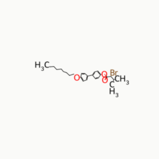 CCCCCCCCCOc1ccc(-c2ccc(OC(=O)C(Br)C(C)C)cc2)cc1